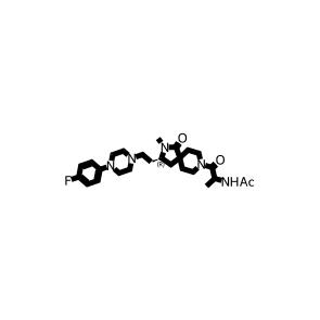 CC(=O)NC(C)C(=O)N1CCC2(CC1)C[C@H](CCN1CCN(c3ccc(F)cc3)CC1)N(C)C2=O